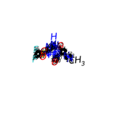 CN1CCN(c2ccc(C(=O)Nc3n[nH]c4ncc(NS(=O)(=O)c5cc(F)cc(F)c5)cc34)c(NC3CCOCC3)c2)CC1